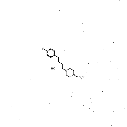 CCOC(=O)N1CCN(CCCCc2ccc(F)cc2)CC1.Cl